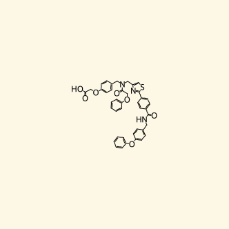 O=C(O)COc1ccc(CN(Cc2csc(-c3ccc(C(=O)NCc4ccc(Oc5ccccc5)cc4)cc3)n2)C(=O)COc2ccccc2)cc1